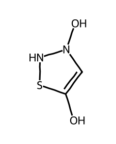 OC1=CN(O)NS1